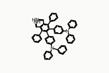 N=Cc1c(C=N)c(-c2ccccc2)c(-c2ccc(N(c3ccccc3)c3ccccc3)cc2)c(-c2ccc(N(c3ccccc3)c3ccccc3)cc2)c1-c1ccccc1